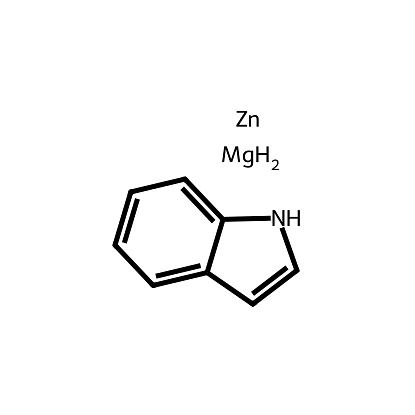 [MgH2].[Zn].c1ccc2[nH]ccc2c1